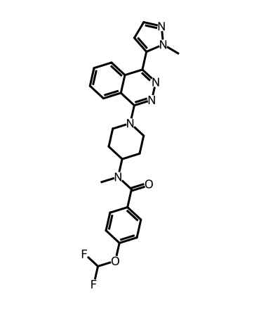 CN(C(=O)c1ccc(OC(F)F)cc1)C1CCN(c2nnc(-c3ccnn3C)c3ccccc23)CC1